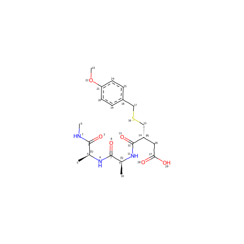 CNC(=O)[C@H](C)NC(=O)[C@H](C)NC(=O)[C@H](CSCc1ccc(OC)cc1)CC(=O)O